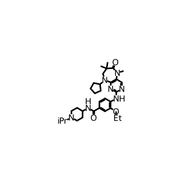 CCOc1cc(C(=O)NC2CCN(C(C)C)CC2)ccc1Nc1ncc2c(n1)N(C1CCCC1)CC(C)(C)C(=O)N2C